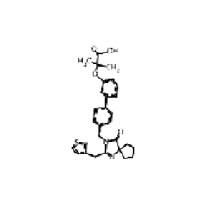 CC(C)(Oc1cccc(-c2ccc(CN3C(=O)C4(CCCC4)N=C3Cc3ccsc3)cc2)c1)C(=O)O